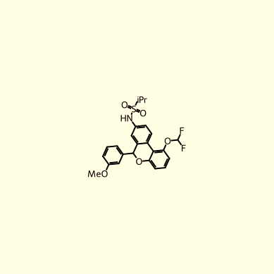 COc1cccc(C2Oc3cccc(OC(F)F)c3-c3ccc(NS(=O)(=O)C(C)C)cc32)c1